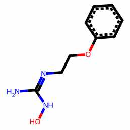 NC(=NCCOc1ccccc1)NO